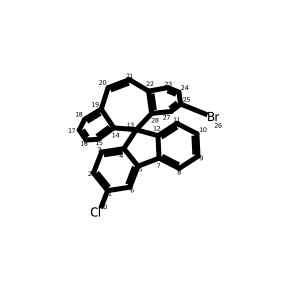 Clc1ccc2c(c1)-c1ccccc1C21c2ccccc2C=Cc2ccc(Br)cc21